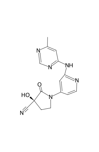 Cc1cc(Nc2cc(N3CC[C@](O)(C#N)C3=O)ccn2)ncn1